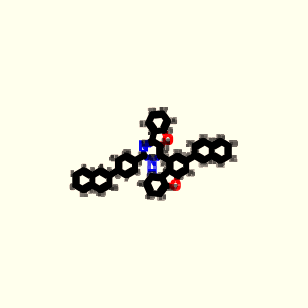 c1ccc2cc(-c3ccc(C4N=c5c(oc6ccccc56)=C(c5cc(-c6ccc7ccccc7c6)cc6oc7ccccc7c56)N4)cc3)ccc2c1